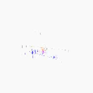 CCCCCCCCCCCCc1ccc(S(=O)(=O)O)c(CCCCCCCCCCCC)c1CCCCCCCCCCCC.N=C(N)NCCCCCCN(CCCCCCNC(=N)N)C(=N)N